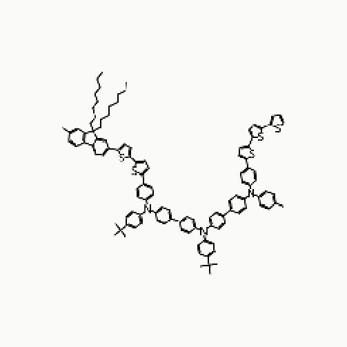 CCCCCCCCC1(CCCCCCCC)c2cc(C)ccc2-c2ccc(-c3ccc(-c4ccc(-c5ccc(N(c6ccc(-c7ccc(N(c8ccc(-c9ccc(N(c%10ccc(C)cc%10)c%10ccc(-c%11ccc(-c%12ccc(-c%13cccs%13)s%12)s%11)cc%10)cc9)cc8)c8ccc(C(C)(C)C)cc8)cc7)cc6)c6ccc(C(C)(C)C)cc6)cc5)s4)s3)cc21